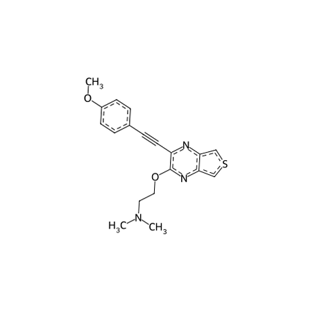 COc1ccc(C#Cc2nc3cscc3nc2OCCN(C)C)cc1